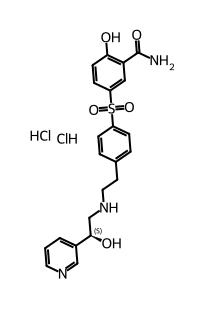 Cl.Cl.NC(=O)c1cc(S(=O)(=O)c2ccc(CCNC[C@@H](O)c3cccnc3)cc2)ccc1O